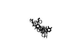 C=CC(=O)Nc1cc(Nc2ncc(Cl)c(Nc3ccc(C)c(C)c3NC(C)=O)n2)c(OC)cc1N(C)CCN(C)C